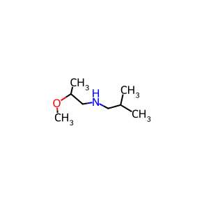 COC(C)CNCC(C)C